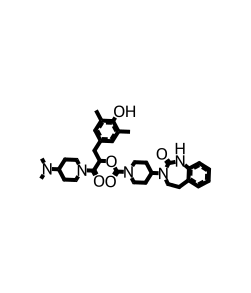 Cc1cc(CC(OC(=O)N2CCC(N3CCc4ccccc4NC3=O)CC2)C(=O)N2CCC(N(C)C)CC2)cc(C)c1O